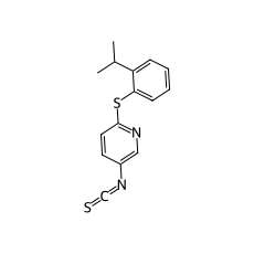 CC(C)c1ccccc1Sc1ccc(N=C=S)cn1